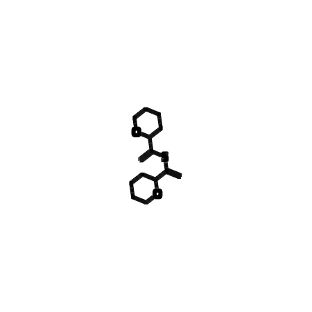 C=C(SC(=C)C1CCCCO1)C1CCCCO1